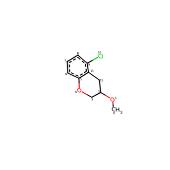 COC1COc2cccc(Cl)c2C1